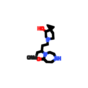 COCC(CCN1CCC2(CC2)[C@H](O)C1)N1CCNCCC1=O